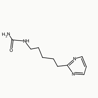 NC(=O)NCCCCCc1ncccn1